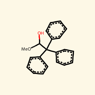 COC(O)C(c1ccccc1)(c1ccccc1)c1ccccc1